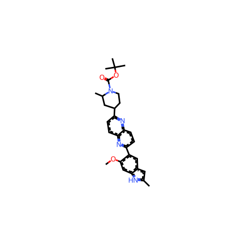 COc1cc2[nH]c(C)cc2cc1-c1ccc2nc(C3CCN(C(=O)OC(C)(C)C)C(C)C3)ccc2n1